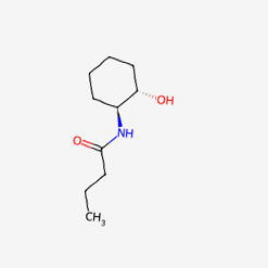 CCCC(=O)N[C@H]1CCCC[C@@H]1O